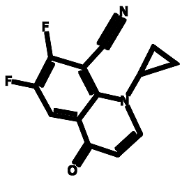 N#Cc1c(F)c(F)cc2c(=O)ccn(C3CC3)c12